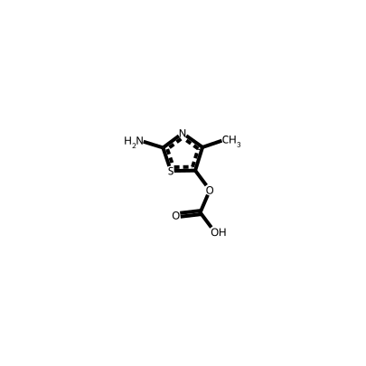 Cc1nc(N)sc1OC(=O)O